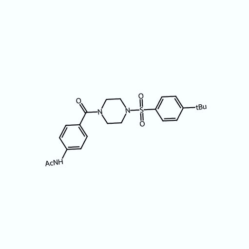 CC(=O)Nc1ccc(C(=O)N2CCN(S(=O)(=O)c3ccc(C(C)(C)C)cc3)CC2)cc1